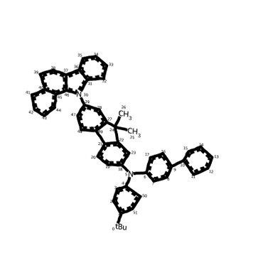 CC(C)(C)c1ccc(N(c2ccc(-c3ccccc3)cc2)c2ccc3c(c2)C(C)(C)c2cc(-n4c5ccccc5c5ccc6ccccc6c54)ccc2-3)cc1